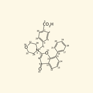 O=C(O)c1ccc(C[N+]2(c3cc(=O)c4cccc(-c5ccccc5)c4o3)CCOCC2)cc1